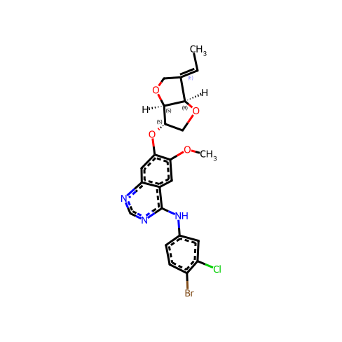 C/C=C1\CO[C@@H]2[C@@H](Oc3cc4ncnc(Nc5ccc(Br)c(Cl)c5)c4cc3OC)CO[C@H]12